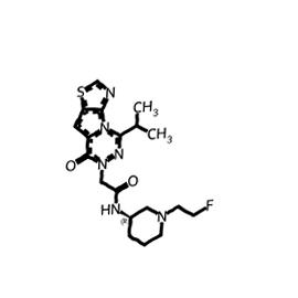 CC(C)c1nn(CC(=O)N[C@@H]2CCCN(CCF)C2)c(=O)c2cc3scnc3n12